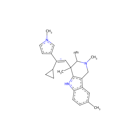 CCCC1N(C)Cc2c([nH]c3ccc(C)cc23)C1(C)/C=C(/c1ccn(C)c1)C1CC1